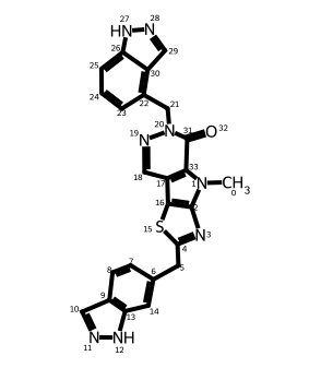 Cn1c2nc(Cc3ccc4cn[nH]c4c3)sc2c2cnn(Cc3cccc4[nH]ncc34)c(=O)c21